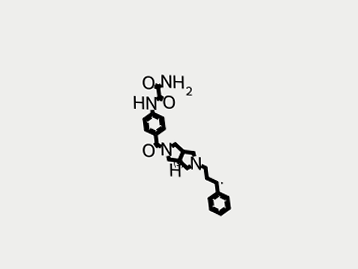 NC(=O)C(=O)Nc1ccc(C(=O)N2CC3CN(CC[CH]c4ccccc4)C[C@H]3C2)cc1